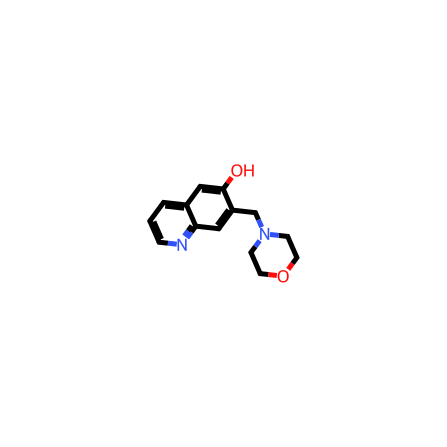 Oc1cc2cccnc2cc1CN1CCOCC1